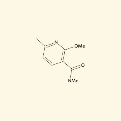 CNC(=O)c1ccc(C)nc1OC